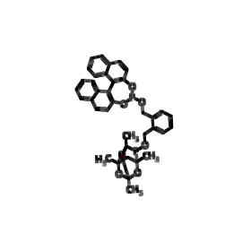 CC12CC3(C)OC(C)(CC(C)(O1)P3OCc1ccccc1COp1oc3ccc4ccccc4c3c3c(ccc4ccccc43)o1)O2